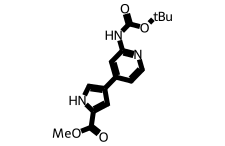 COC(=O)c1cc(-c2ccnc(NC(=O)OC(C)(C)C)c2)c[nH]1